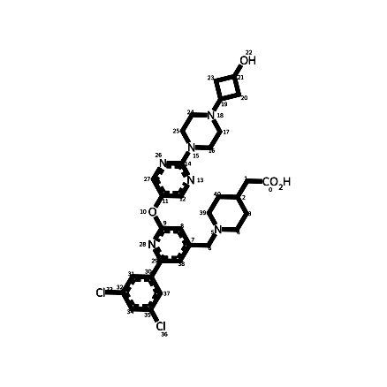 O=C(O)CC1CCN(Cc2cc(Oc3cnc(N4CCN(C5CC(O)C5)CC4)nc3)nc(-c3cc(Cl)cc(Cl)c3)c2)CC1